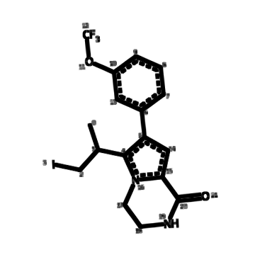 CC(CI)c1c(-c2cccc(OC(F)(F)F)c2)cc2n1CCNC2=O